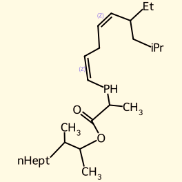 CCCCCCCC(C)C(C)OC(=O)C(C)P/C=C\C/C=C\C(CC)CC(C)C